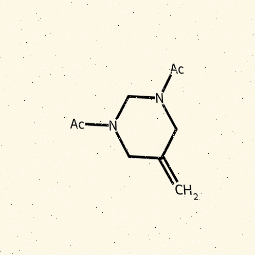 C=C1CN(C(C)=O)CN(C(C)=O)C1